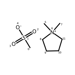 CS(=O)(=O)[O-].C[N+]1(C)CCCC1